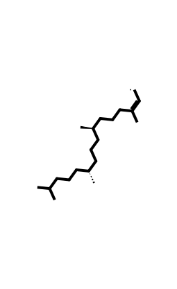 [CH2]/C=C(/C)CCC[C@H](C)CCC[C@H](C)CCCC(C)C